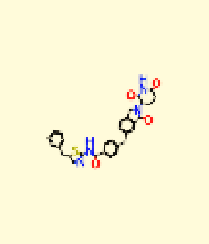 O=C1CCC(N2Cc3ccc(Cc4ccc(C(=O)Nc5ncc(Cc6ccccc6)s5)cc4)cc3C2=O)C(=O)N1